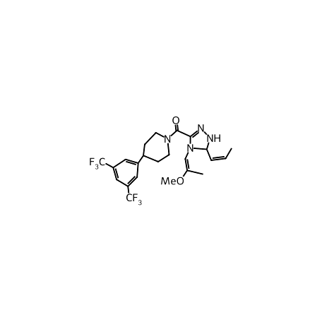 C/C=C\C1NN=C(C(=O)N2CCC(c3cc(C(F)(F)F)cc(C(F)(F)F)c3)CC2)N1/C=C(\C)OC